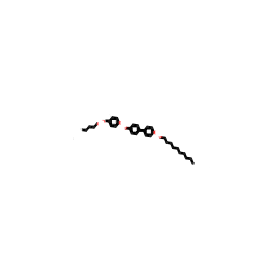 CCCCCCCCCCCCOc1ccc(-c2ccc(C(=O)Oc3ccc(C(C)OCCCCCC)cc3)cc2)cc1